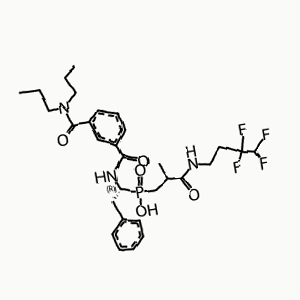 CCCN(CCC)C(=O)c1cccc(C(=O)N[C@@H](Cc2ccccc2)P(=O)(O)CC(C)C(=O)NCCC(F)(F)C(F)F)c1